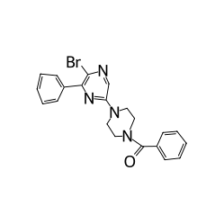 O=C(c1ccccc1)N1CCN(c2cnc(Br)c(-c3ccccc3)n2)CC1